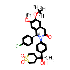 [2H]C([2H])([2H])Oc1cc2c(cc1OC(C)C)[C@H](c1ccc(Cl)cc1)N(c1ccc([C@@](C)(O)C3CCS(=O)(=O)CC3)cc1)C(=O)C2